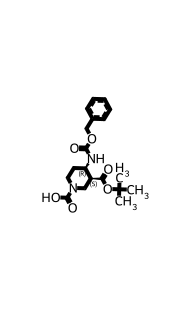 CC(C)(C)OC(=O)[C@H]1CN(C(=O)O)CC[C@H]1NC(=O)OCc1ccccc1